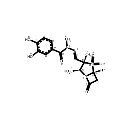 CN(/N=C/[C@@]1(C)[C@H](C(=O)O)N2C(=O)C[C@H]2S1(=O)=O)C(=O)c1ccc(O)c(O)c1